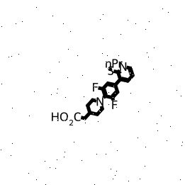 CCCSc1ncccc1-c1cc(F)c(N2CCC(CC(=O)O)CC2)c(F)c1